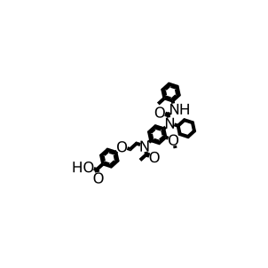 COc1cc(N(CCOc2ccc(C(=O)O)cc2)C(C)=O)ccc1N(C(=O)Nc1ccccc1C)C1CCCCC1